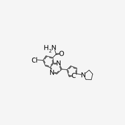 NC(=O)c1cc(Cl)cc2ncc(-c3ccc(N4CCCC4)cc3)nc12